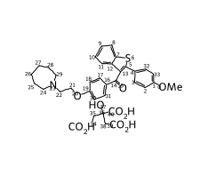 COc1ccc(-c2sc3ccccc3c2C(=O)c2ccc(OCCN3CCCCCC3)cc2)cc1.O=C(O)CC(O)(CC(=O)O)C(=O)O